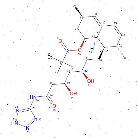 CCC(C)(C)C(=O)O[C@H]1C[C@@H](C)C=C2C=C[C@H](C)[C@@H](CC[C@@H](O)C[C@@H](O)CC(=O)Nc3nn[nH]n3)[C@H]21